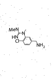 CNC(=N)N(C)c1cc(CN)ccc1Cl